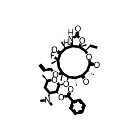 C=CCO[C@]1(C)C[C@](C)(F)C(=O)[C@@H](C)[C@H]2NC(=O)O[C@]2(C)[C@@H](CC)OC(=O)[C@H](C)C(=O)[C@H](C)[C@H]1O[C@@H]1O[C@H](C)C[C@H](N(C)C)[C@H]1OC(=O)c1ccccc1